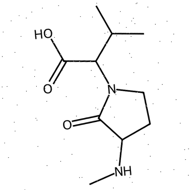 CNC1CCN(C(C(=O)O)C(C)C)C1=O